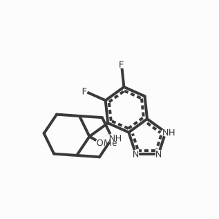 COC1(c2c(F)c(F)cc3[nH]nnc23)C2CCCC1CNC2